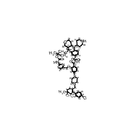 CC1(C)CCC(CN2CCN(c3ccc(C(=O)NS(=O)(=O)c4ccc(N(C5CCNCC5)C5CCOCC5)c([N+](=O)[O-])c4)c(OCc4csc(NC(=O)OC(C)(C)C)n4)c3)CC2)=C(c2ccc(Cl)cc2)C1